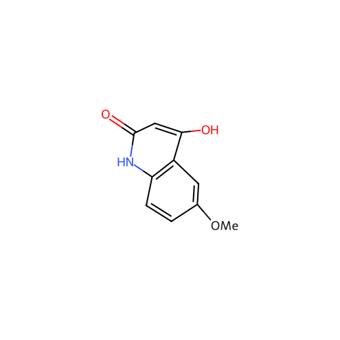 COc1ccc2[nH]c(=O)cc(O)c2c1